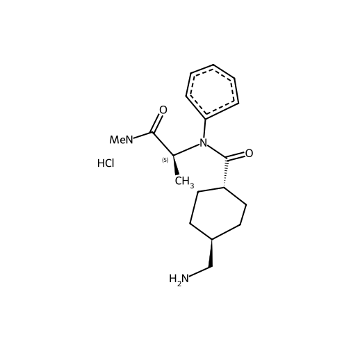 CNC(=O)[C@H](C)N(c1ccccc1)C(=O)[C@H]1CC[C@H](CN)CC1.Cl